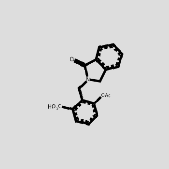 CC(=O)Oc1cccc(C(=O)O)c1CN1Cc2ccccc2C1=O